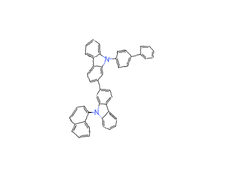 c1ccc(-c2ccc(-n3c4ccccc4c4ccc(-c5ccc6c7ccccc7n(-c7cccc8ccccc78)c6c5)cc43)cc2)cc1